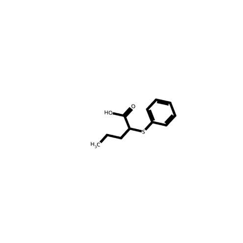 CCCC(Sc1ccccc1)C(=O)O